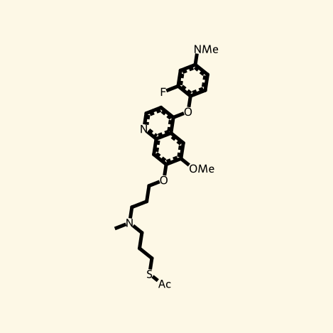 CNc1ccc(Oc2ccnc3cc(OCCCN(C)CCCSC(C)=O)c(OC)cc23)c(F)c1